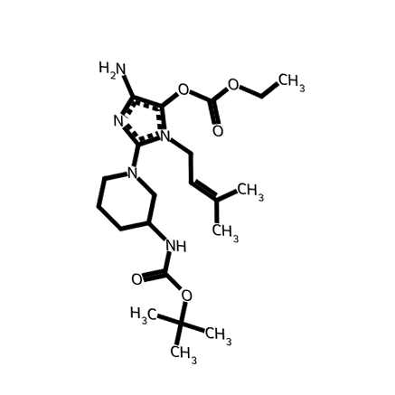 CCOC(=O)Oc1c(N)nc(N2CCCC(NC(=O)OC(C)(C)C)C2)n1CC=C(C)C